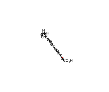 N#Cc1cccc(NC(=N)NCCOCCOCCOCCOCCOCCOCCOCCOCCOCCOCCC(=O)O)c1